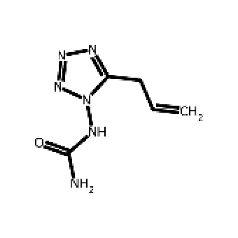 C=CCc1nnnn1NC(N)=O